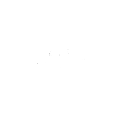 O=C1C=C2CC(=O)NC2=N1